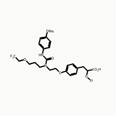 CCOC(Cc1ccc(OCCN(CCCOCC(F)(F)F)C(=O)Nc2ccc(OC)cc2)cc1)C(=O)O